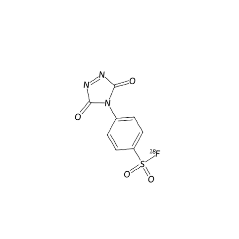 O=C1N=NC(=O)N1c1ccc(S(=O)(=O)[18F])cc1